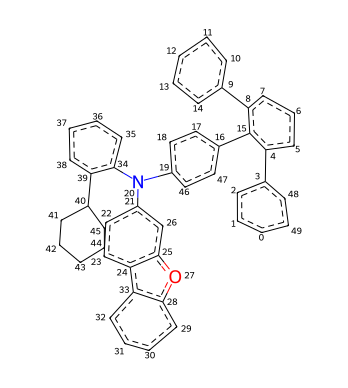 c1ccc(-c2cccc(-c3ccccc3)c2-c2ccc(N(c3ccc4c(c3)oc3ccccc34)c3ccccc3C3CCCCC3)cc2)cc1